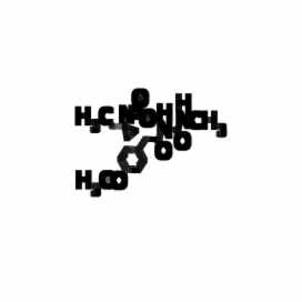 CCC1(N=S(=O)=O)CC1.CNC(=O)NC(=O)Cc1ccc(OC)cc1